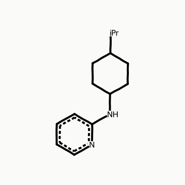 CC(C)C1CCC(Nc2ccccn2)CC1